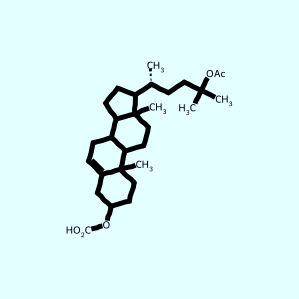 CC(=O)OC(C)(C)CC[C@@H](C)C1CCC2C3CC=C4CC(OC(=O)O)CCC4(C)C3CCC21C